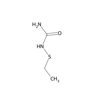 CCSNC(N)=O